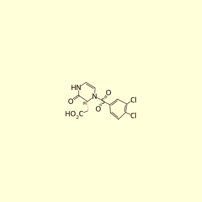 O=C(O)C[C@@H]1C(=O)NC=CN1S(=O)(=O)c1ccc(Cl)c(Cl)c1